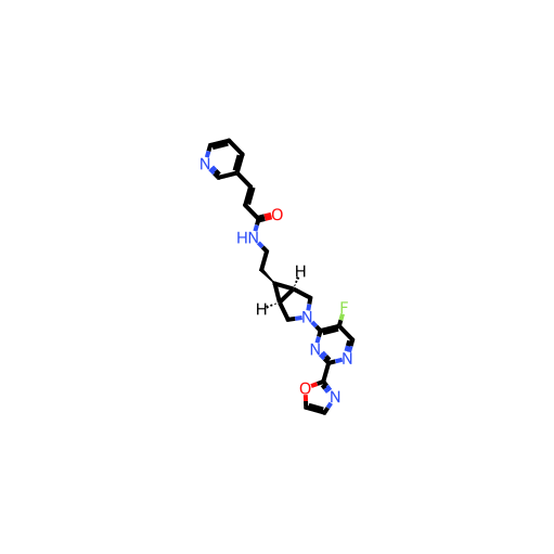 O=C(/C=C/c1cccnc1)NCC[C@H]1[C@H]2CN(c3nc(-c4ncco4)ncc3F)C[C@@H]12